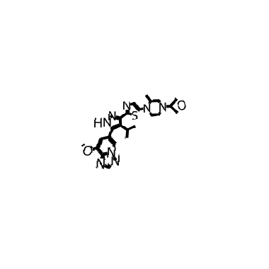 COc1cc(-c2[nH]nc(-c3ncc(N4CCN(C5COC5)CC4C)s3)c2C(C)C)cn2ncnc12